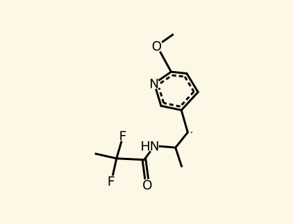 COc1ccc([CH]C(C)NC(=O)C(C)(F)F)cn1